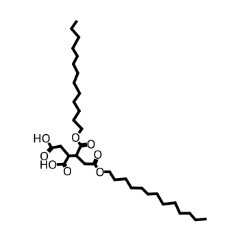 CCCCCCCCCCCCCOC(=O)CC(C(=O)OCCCCCCCCCCCCC)C(CC(=O)O)C(=O)O